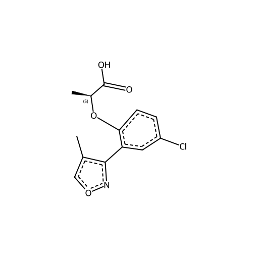 Cc1conc1-c1cc(Cl)ccc1O[C@@H](C)C(=O)O